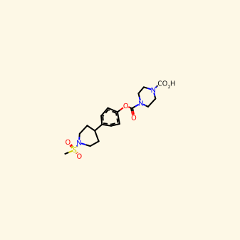 CS(=O)(=O)N1CCC(c2ccc(OC(=O)N3CCN(C(=O)O)CC3)cc2)CC1